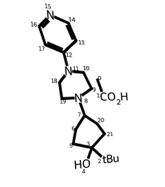 CC(=O)O.CC(C)(C)C1(O)CCC(N2CCN(c3ccncc3)CC2)CC1